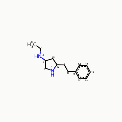 CCNC1CNC(CCc2ccccc2)C1